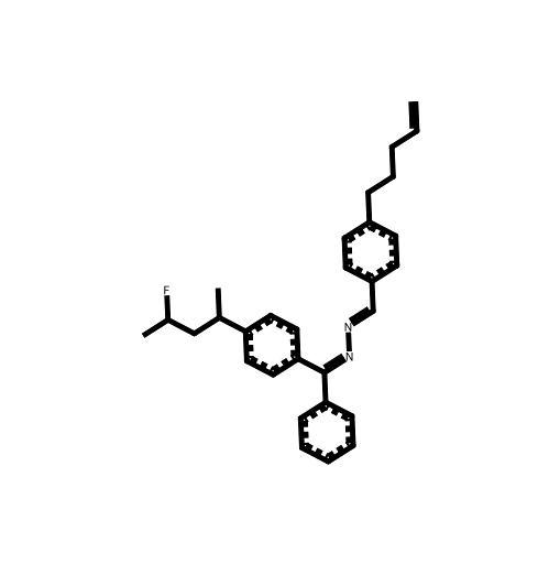 C=CCCCc1ccc(C=NN=C(c2ccccc2)c2ccc(C(C)CC(C)F)cc2)cc1